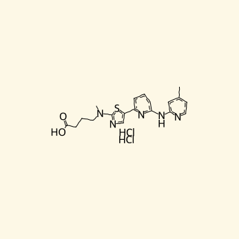 Cc1ccnc(Nc2cccc(-c3cnc(N(C)CCCC(=O)O)s3)n2)c1.Cl.Cl